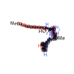 COCCOCCOCCOCCOCCOCCOCCOCCOCCOCCOCCOCCC(=O)NCCCC[C@H](NC(=O)O)C(=O)N[C@@H](CC(N)=O)C(=O)NCC(=O)NCN1C(=O)CCN(c2cc(C#CCNC3(C)CCN(C4CCN(c5nc([C@@](CO)(OC6CC6)c6ccccc6)c6cc(-c7cn(C)c(=O)c8[nH]ccc78)ccc6n5)CC4)CC3)ccc2OC)C1=O